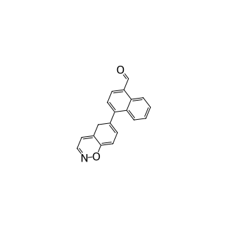 O=Cc1ccc(C2=CC=C3ON=CC=C3C2)c2ccccc12